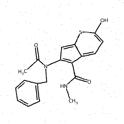 CNC(=O)c1c2ccc(O)sc-2cc1N(Cc1ccccc1)C(C)=O